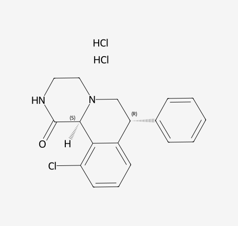 Cl.Cl.O=C1NCCN2C[C@H](c3ccccc3)c3cccc(Cl)c3[C@@H]12